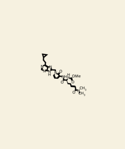 COC(=O)N[C@@H](CC/C=C/C(=O)N(C)C)C(=O)Nc1cccn(Cc2nc3c(CCC4CC4)ncnc3[nH]2)c1=O